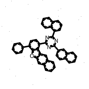 c1ccc(-c2ccc(-c3nc(-c4ccc5ccccc5c4)nc(-c4cccc5ccccc45)n3)c3c2oc2cc4ccccc4cc23)cc1